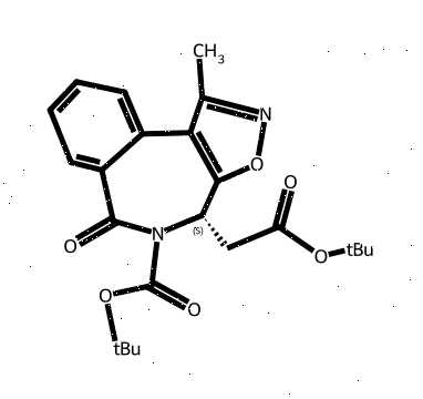 Cc1noc2c1-c1ccccc1C(=O)N(C(=O)OC(C)(C)C)[C@H]2CC(=O)OC(C)(C)C